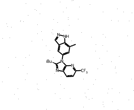 CC[C@H](C)c1nc2ccc(C(F)(F)F)nc2n1-c1cc(C)c2[nH]ncc2c1